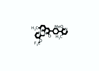 COc1nccc(C)c1C1CCC(c2cc3ccc(C)nc3n(Cc3ncccc3OC(F)(F)F)c2=O)CC1